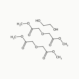 COC(=O)COCC(=O)OC.COC(=O)COCC(=O)OC.OCCO